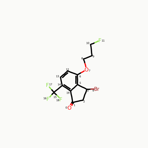 O=C1CC(Br)c2c(OCCCF)ccc(C(F)(F)F)c21